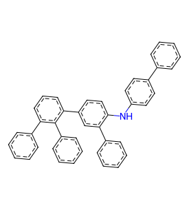 c1ccc(-c2ccc(Nc3ccc(-c4cccc(-c5ccccc5)c4-c4ccccc4)cc3-c3ccccc3)cc2)cc1